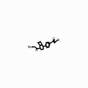 O=C(CBr)c1ccc(-c2ccc(C(=O)CBr)c3c2CC3)cc1